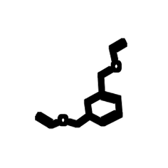 C=COCC1=CC=CC(COC=C)C1